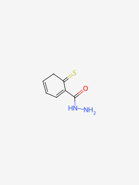 NNC(=O)C1=CC=CCC1=S